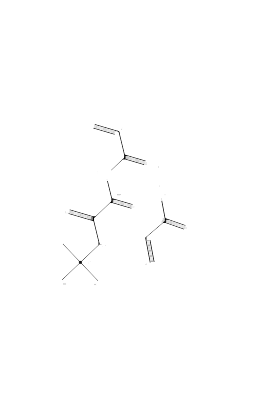 C=CC(=O)O.C=CC(=O)OC(=O)C(=C)CC(C)(C)C